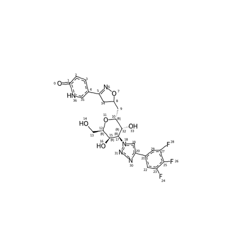 O=c1ccc(C2=NOC(C[C@H]3O[C@H](CO)[C@H](O)[C@H](n4cc(-c5cc(F)c(F)c(F)c5)nn4)[C@H]3O)C2)c[nH]1